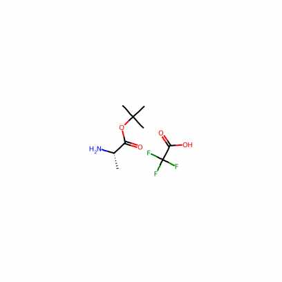 C[C@H](N)C(=O)OC(C)(C)C.O=C(O)C(F)(F)F